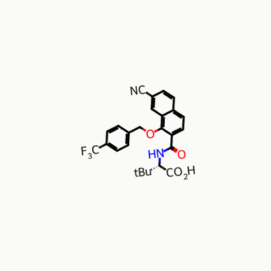 CC(C)(C)[C@H](NC(=O)c1ccc2ccc(C#N)cc2c1OCc1ccc(C(F)(F)F)cc1)C(=O)O